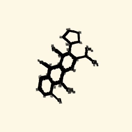 CC(C)c1nc2c(c(=O)c3cccc(Cl)c3n2C)c(=O)n1C1CCCC1